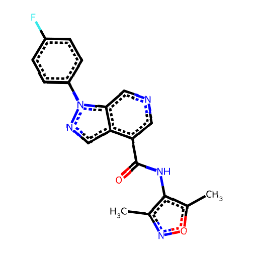 Cc1noc(C)c1NC(=O)c1cncc2c1cnn2-c1ccc(F)cc1